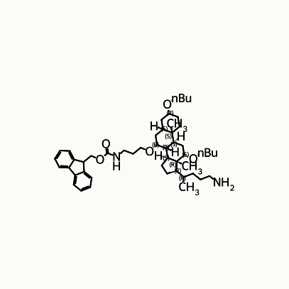 CCCCO[C@@H]1CC[C@@]2(C)[C@@H](C1)C[C@@H](OCCCNC(=O)OCC1c3ccccc3-c3ccccc31)[C@@H]1[C@@H]2C[C@H](OCCCC)[C@]2(C)[C@@H]([C@H](C)CCCN)CC[C@@H]12